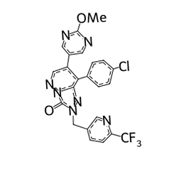 COc1ncc(-c2cnn3c(=O)n(Cc4ccc(C(F)(F)F)nc4)nc3c2-c2ccc(Cl)cc2)cn1